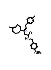 C/C1=C\CCC(/C(=C\Cc2ccc(C)cc2)CC(=O)NCc2ccc(OCC(C)C)cc2)CCC1